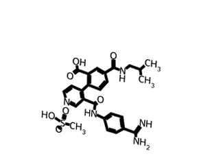 CC(C)CNC(=O)c1ccc(-c2ccncc2C(=O)Nc2ccc(C(=N)N)cc2)c(C(=O)O)c1.CS(=O)(=O)O